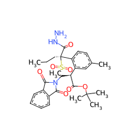 CCC[C@](C(=O)NN)(c1ccc(C)cc1[C@H](CN1C(=O)c2ccccc2C1=O)C(=O)OC(C)(C)C)S(C)(=O)=O